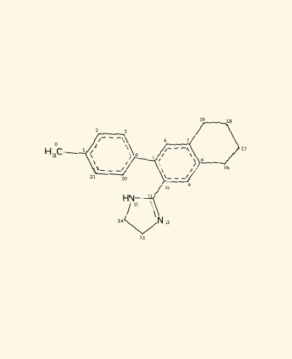 Cc1ccc(-c2cc3c(cc2C2=NCCN2)CCCC3)cc1